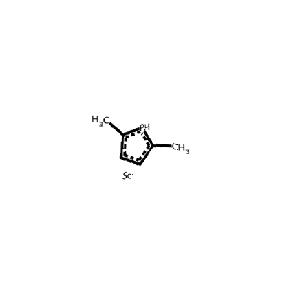 Cc1ccc(C)[pH]1.[Sc]